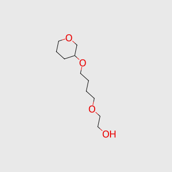 OCCOCCCCOC1CCCOC1